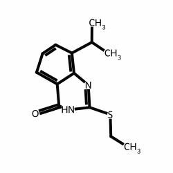 CCSc1nc2c(C(C)C)cccc2c(=O)[nH]1